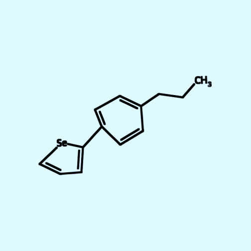 CCCc1ccc(-c2ccc[se]2)cc1